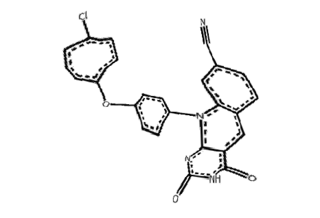 N#Cc1ccc2cc3c(=O)[nH]c(=O)nc-3n(-c3ccc(Oc4ccc(Cl)cc4)cc3)c2c1